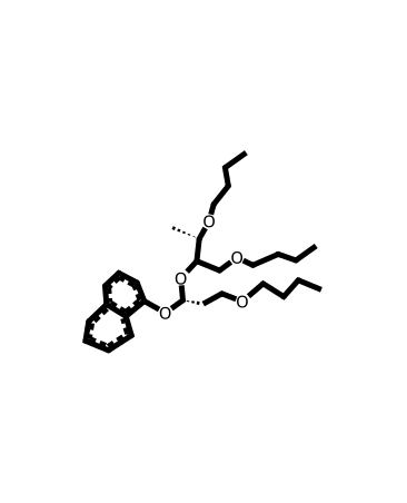 CCCCOCC[C@H](Oc1cccc2ccccc12)OC(COCCCC)[C@H](C)OCCCC